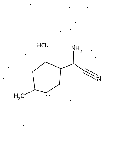 CC1CCC(C(N)C#N)CC1.Cl